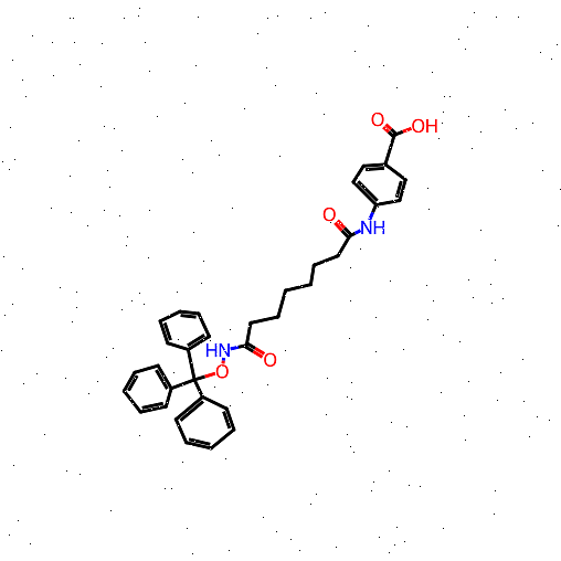 O=C(CCCCCCC(=O)Nc1ccc(C(=O)O)cc1)NOC(c1ccccc1)(c1ccccc1)c1ccccc1